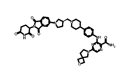 NC(=O)c1ncc(N2CCC3(COC3)C2)nc1Nc1ccc(C2CCN(C[C@H]3CCN(c4ccc5c(c4)C(=O)N(C4CCC(=O)NC4=O)C5=O)C3)CC2)cc1